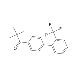 CC(C)(C)C(=O)c1ccc(-c2ccccc2C(F)(F)F)cc1